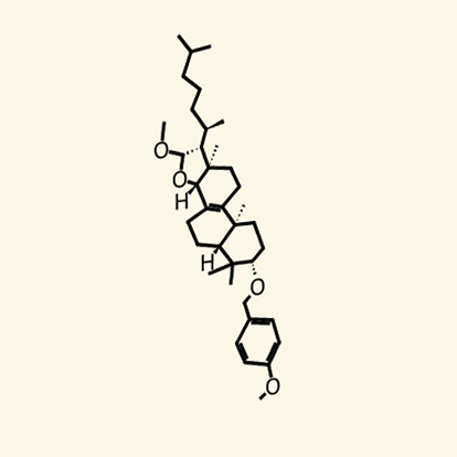 COc1ccc(CO[C@H]2CC[C@]3(C)C4=C(CC[C@H]3C2(C)C)[C@@H]2OC(OC)[C@H]([C@H](C)CCCC(C)C)[C@@]2(C)CC4)cc1